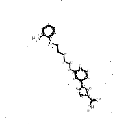 Nc1ccccc1OCCCCCCc1cc(-c2nc(C(=O)O)co2)ccn1